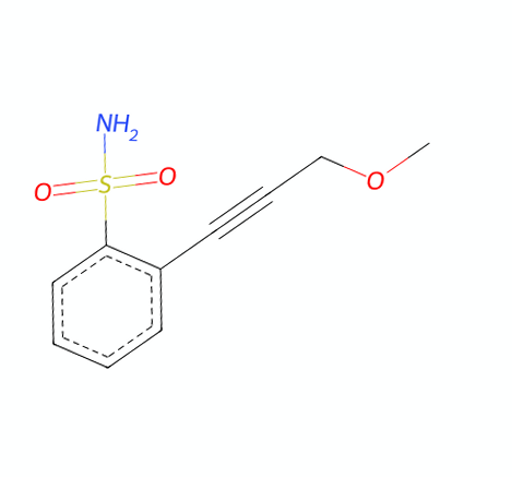 COCC#Cc1ccccc1S(N)(=O)=O